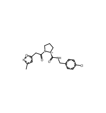 Cc1cc(CC(=O)N2CCC[C@H]2C(=O)NCc2ccc(Cl)cc2)on1